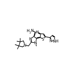 Cn1c(CN2CC(C)(C)C(C)(C)C2)nc2c(N)nc3cc(-c4cc[nH]n4)sc3c21